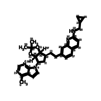 Cc1ncnc2c1ccn2[C@@H]1C[C@H](CCc2ccc3ccc(NCC4CC4)nc3c2)[C@H]2OC(C)(C)O[C@H]21